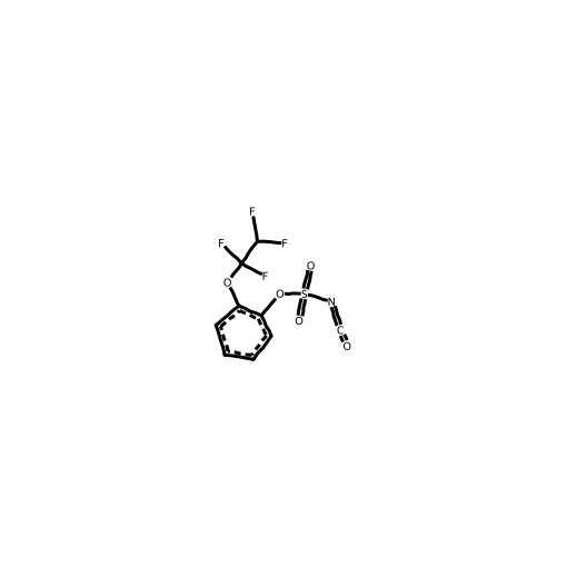 O=C=NS(=O)(=O)Oc1ccccc1OC(F)(F)C(F)F